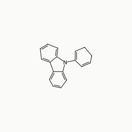 C1=CC(n2c3ccccc3c3ccccc32)=CCC1